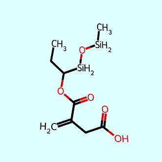 C=C(CC(=O)O)C(=O)OC(CC)[SiH2]O[SiH2]C